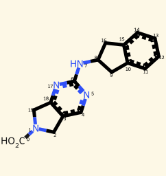 O=C(O)N1Cc2cnc(NC3Cc4ccccc4C3)nc2C1